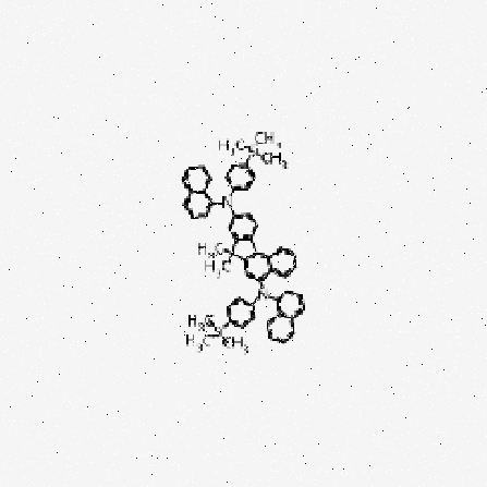 CC1(C)c2cc(N(c3ccc([Si](C)(C)C)cc3)c3cccc4ccccc34)ccc2-c2c1cc(N(c1ccc([Si](C)(C)C)cc1)c1cccc3ccccc13)c1ccccc21